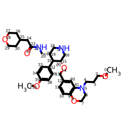 COCCCN1CCOc2ccc(CO[C@H]3CNC[C@@H](CNC(=O)CC4CCOCC4)C3c3ccc(OC)cc3)cc21